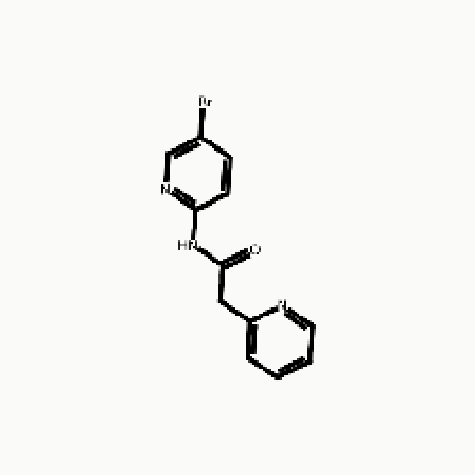 O=C(Cc1ccccn1)Nc1ccc(Br)cn1